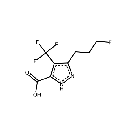 O=C(O)c1[nH]nc(CCCF)c1C(F)(F)F